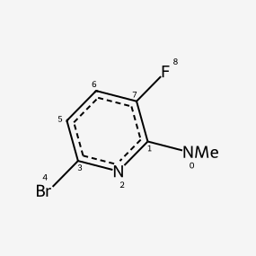 CNc1nc(Br)ccc1F